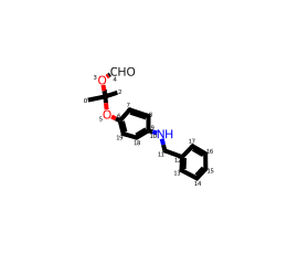 CC(C)(OC=O)Oc1ccc(NCc2ccccc2)cc1